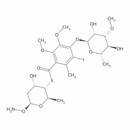 COc1c(O[C@@H]2O[C@@H](C)[C@H](O)[C@@H](OC)[C@H]2O)c(I)c(C)c(C(=O)S[C@H]2[C@@H](O)C[C@H](ON)O[C@@H]2C)c1OC